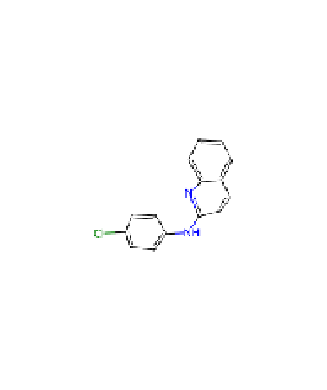 Clc1ccc(Nc2ccc3ccccc3n2)cc1